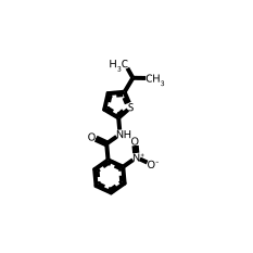 CC(C)c1ccc(NC(=O)c2ccccc2[N+](=O)[O-])s1